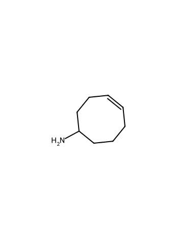 NC1CCC=CCCC1